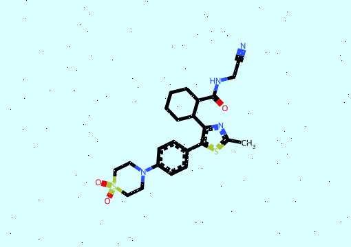 Cc1nc(C2CCCCC2C(=O)NCC#N)c(-c2ccc(N3CCS(=O)(=O)CC3)cc2)s1